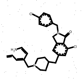 C=C/C=C(\C=C/N)CN1CCC(Cc2cc(Cl)c3c(c2)CN(Cc2ccc(Cl)cc2)C3=O)CC1